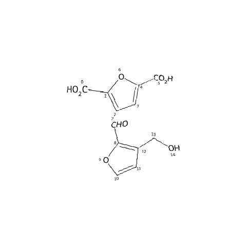 O=C(O)c1ccc(C(=O)O)o1.O=Cc1occc1CO